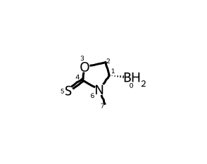 B[C@H]1COC(=S)N1C